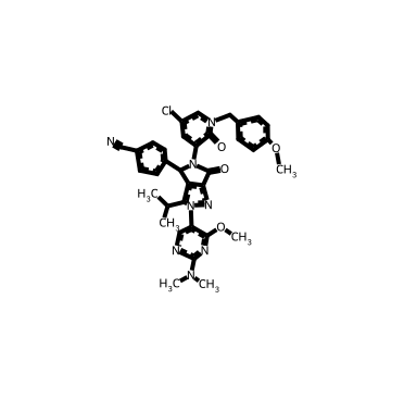 COc1ccc(Cn2cc(Cl)cc(N3C(=O)c4nn(-c5cnc(N(C)C)nc5OC)c(C(C)C)c4C3c3ccc(C#N)cc3)c2=O)cc1